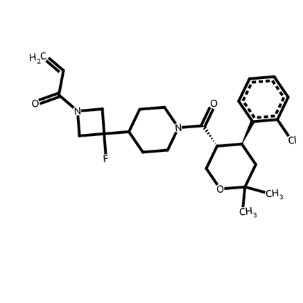 C=CC(=O)N1CC(F)(C2CCN(C(=O)[C@H]3COC(C)(C)C[C@@H]3c3ccccc3Cl)CC2)C1